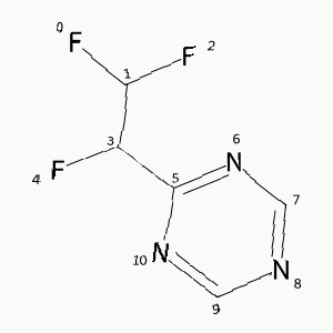 FC(F)C(F)c1ncncn1